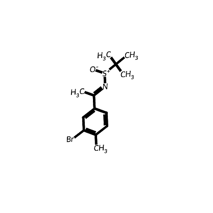 C/C(=N\[S+]([O-])C(C)(C)C)c1ccc(C)c(Br)c1